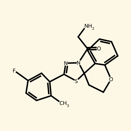 Cc1ccc(F)cc1C1=NN(C(=O)CN)C2(CCOc3ccccc32)S1